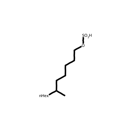 CCCCCCC(C)CCCCCOS(=O)(=O)O